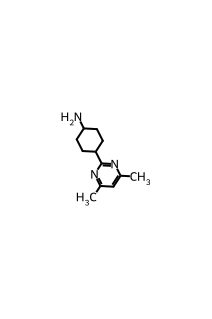 Cc1cc(C)nc(C2CCC(N)CC2)n1